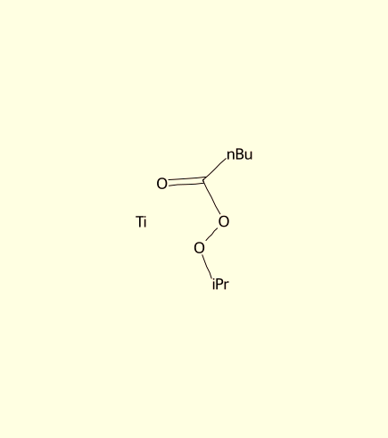 CCCCC(=O)OOC(C)C.[Ti]